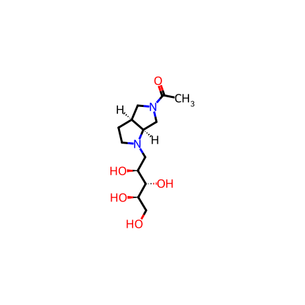 CC(=O)N1C[C@@H]2CCN(C[C@H](O)[C@H](O)[C@H](O)CO)[C@@H]2C1